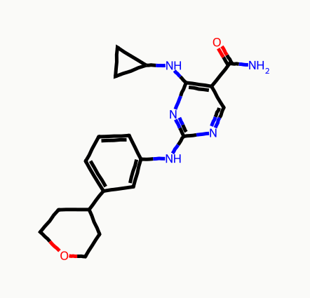 NC(=O)c1cnc(Nc2cccc(C3CCOCC3)c2)nc1NC1CC1